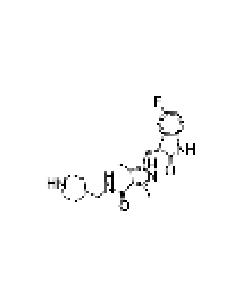 Cc1[nH]c(/C=C2\C(=O)Nc3ccc(F)cc32)c(C)c1C(=O)NCC1CCNCC1